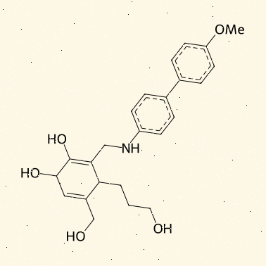 COc1ccc(-c2ccc(NCC3=C(O)C(O)C=C(CO)C3CCCO)cc2)cc1